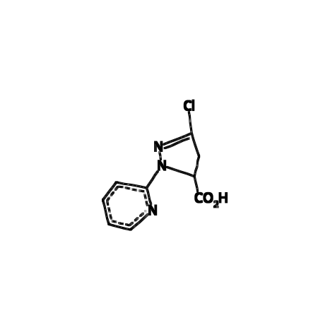 O=C(O)C1CC(Cl)=NN1c1ccccn1